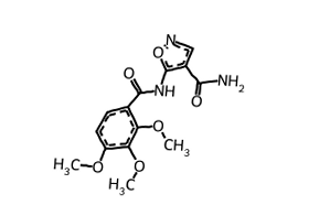 COc1ccc(C(=O)Nc2oncc2C(N)=O)c(OC)c1OC